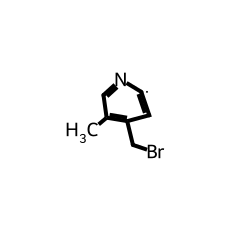 Cc1cn[c]cc1CBr